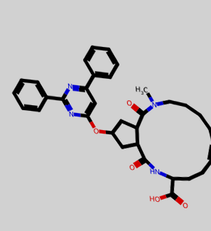 CN1CCCCC=CCCC(C(=O)O)NC(=O)C2CC(Oc3cc(-c4ccccc4)nc(-c4ccccc4)n3)CC2C1=O